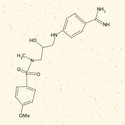 COc1ccc(S(=O)(=O)N(C)CC(O)CNc2ccc(C(=N)N)cc2)cc1